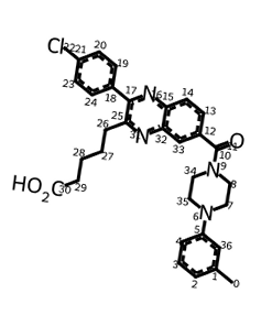 Cc1cccc(N2CCN(C(=O)c3ccc4nc(-c5ccc(Cl)cc5)c(CCCCC(=O)O)nc4c3)CC2)c1